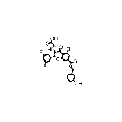 C[C@H](NN(C(=O)c1cc(F)cc(F)c1)C(=O)c1ccc(C(=O)NCc2cccc(O)c2)cc1Cl)C(=O)O